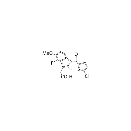 COc1ccc2c(c1F)c(CC(=O)O)c(C)n2C(=O)c1ccc(Cl)s1